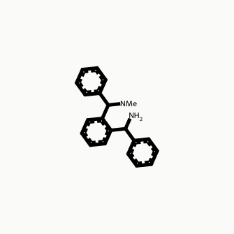 CNC(c1ccccc1)c1ccccc1C(N)c1ccccc1